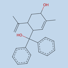 C=C(C)C1CC(O)C(C)=CC1C(O)(c1ccccc1)c1ccccc1